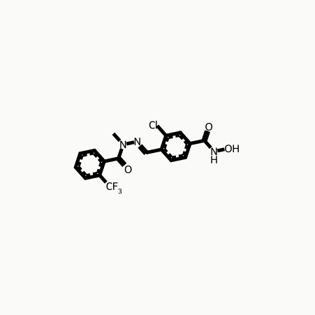 CN(N=Cc1ccc(C(=O)NO)cc1Cl)C(=O)c1ccccc1C(F)(F)F